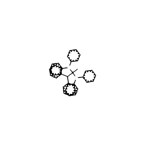 CC(C(c1ccccc1)c1ccccc1)(P(c1ccccc1)c1ccccc1)P(c1ccccc1)c1ccccc1